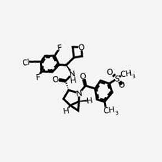 Cc1cc(C(=O)N2[C@@H](C(=O)N[C@@H](c3cc(F)c(Cl)cc3F)C3COC3)C[C@H]3C[C@H]32)cc(S(C)(=O)=O)c1